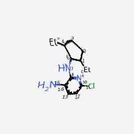 CCC1CCC(CC)C1Nc1nc(Cl)ccc1N